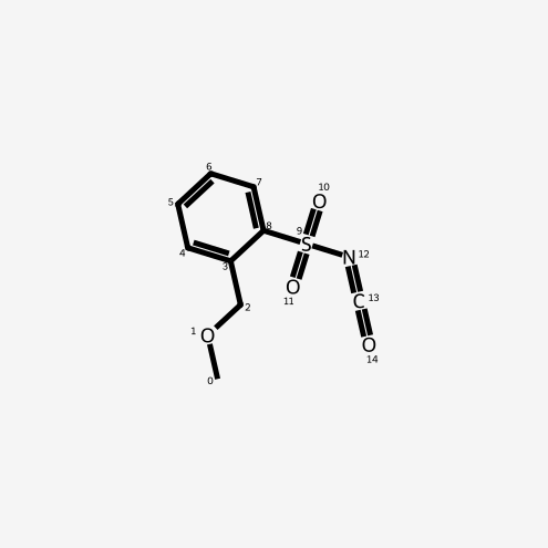 COCc1ccccc1S(=O)(=O)N=C=O